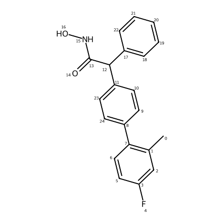 Cc1cc(F)ccc1-c1ccc(C(C(=O)NO)c2ccccc2)cc1